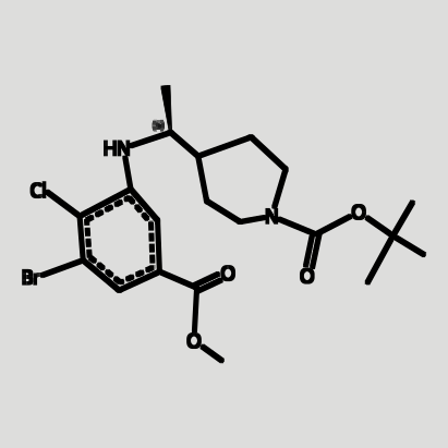 COC(=O)c1cc(Br)c(Cl)c(N[C@@H](C)C2CCN(C(=O)OC(C)(C)C)CC2)c1